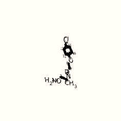 CC(CON)=NOCCOc1ccc(Cl)cc1